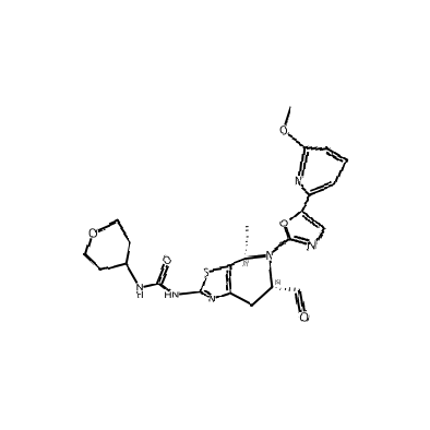 COc1cccc(-c2cnc(N3[C@H](C=O)Cc4nc(NC(=O)NC5CCOCC5)sc4[C@@H]3C)o2)n1